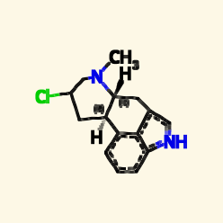 CN1CC(Cl)C[C@@H]2c3cccc4[nH]cc(c34)C[C@H]21